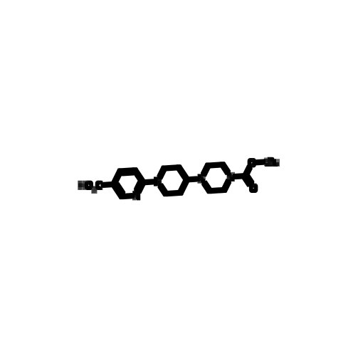 CC(C)(C)OC(=O)N1CCN(C2CCN(c3ccc(C(=O)O)cn3)CC2)CC1